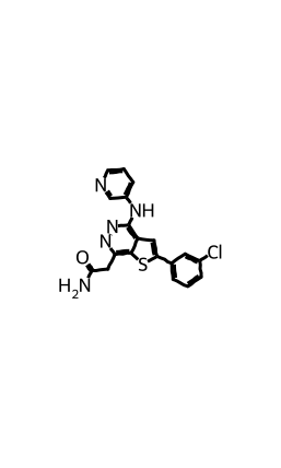 NC(=O)Cc1nnc(Nc2cccnc2)c2cc(-c3cccc(Cl)c3)sc12